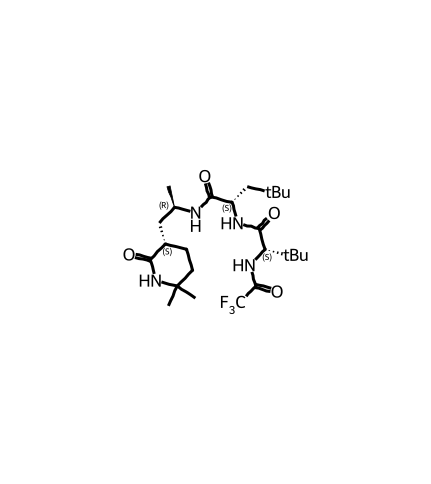 C[C@H](C[C@@H]1CCC(C)(C)NC1=O)NC(=O)[C@H](CC(C)(C)C)NC(=O)[C@@H](NC(=O)C(F)(F)F)C(C)(C)C